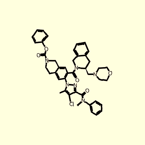 Cc1c(Cl)c(C(=O)N(C)c2ccccc2)nn1-c1cc2c(cc1C(=O)N1Cc3ccccc3C[C@H]1CN1CCOCC1)CN(C(=O)Oc1ccccc1)CC2